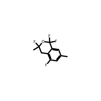 Cc1cc(F)c2c(c1)C(F)(F)OC(C)(F)C2